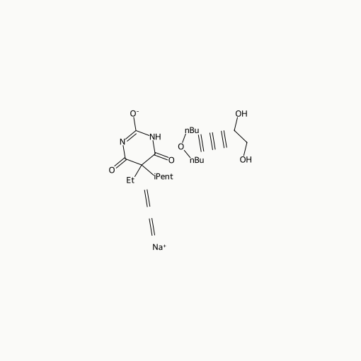 C=C.C=C.C=C.C=C.C=C.CCCC(C)C1(CC)C(=O)N=C([O-])NC1=O.CCCCOCCCC.OCCO.[Na+]